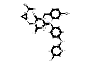 O=C(O)[C@@H]1C[C@H]1Cn1c(=O)[nH]/c(=N\c2ccc(Oc3ccc(F)cn3)cc2)n(Cc2ccc(Cl)cc2)c1=O